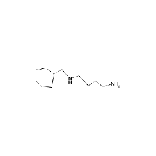 NCCCCNCC1CCCCC1